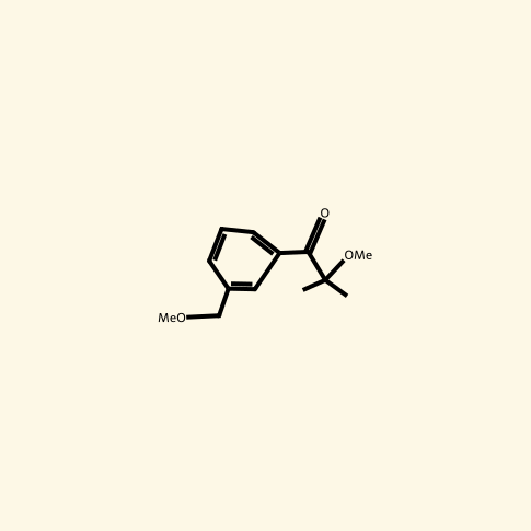 COCc1cccc(C(=O)C(C)(C)OC)c1